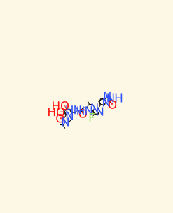 CC(C)[C@@H](CC(=O)NCC1=CC(O)C(O)=C2C(=O)N(C(C)C)CCN12)Nc1nc(-c2ccc3n[nH]c(=O)n3c2)ncc1F